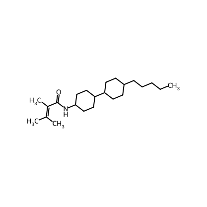 CCCCCC1CCC(C2CCC(NC(=O)C(C)=C(C)C)CC2)CC1